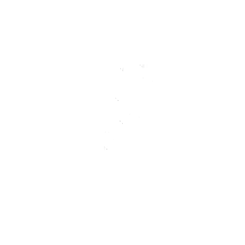 O=C(NCS(=O)(=O)n1ccc2ccccc21)c1cc2c(=O)[nH]cnc2cn1